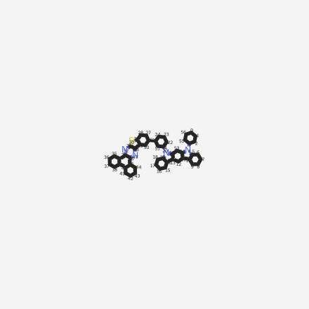 c1ccc(-n2c3ccccc3c3cc4c5ccccc5n(-c5cccc(-c6ccc7sc8nc9c%10ccccc%10c%10ccccc%10c9nc8c7c6)c5)c4cc32)cc1